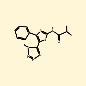 CC(C)C(=O)Nc1nc(-c2ccccc2)c(-c2nnnn2C)s1